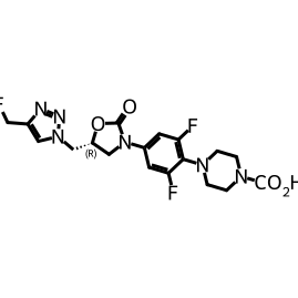 O=C(O)N1CCN(c2c(F)cc(N3C[C@H](Cn4cc(CF)nn4)OC3=O)cc2F)CC1